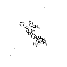 CC(C)C(C(=O)OCc1ccccc1)N1CC[C@]2(CCCN(C(=O)OC(C)(C)C)C2)C1=O